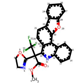 COC(=O)C(C1=NCCO1)(c1nc2ccccc2c2c1ccc1c3ccccc3oc12)C(F)(F)F